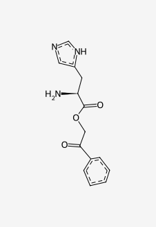 N[C@@H](Cc1cnc[nH]1)C(=O)OCC(=O)c1ccccc1